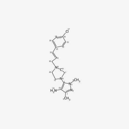 Cc1nn(C)c(N2CCN(CC=Cc3ccc(Cl)cc3)CC2)c1N